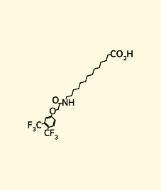 O=C(O)CCCCCCCCCCCCCNC(=O)COc1ccc(C(F)(F)F)c(C(F)(F)F)c1